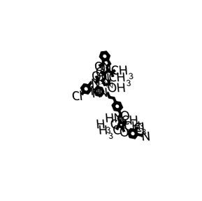 CC(C)C(C(=O)N1C[C@H](O)C[C@H]1C(=O)NCc1ccc(Cl)cc1N1CCN(CCCc2ccc(C(=O)NC3C(C)(C)C(Oc4ccc(C#N)c(Cl)c4)C3(C)C)cc2)CC1)N1Cc2ccccc2C1=O